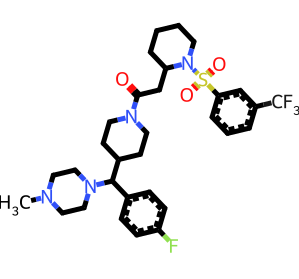 CN1CCN(C(c2ccc(F)cc2)C2CCN(C(=O)CC3CCCCN3S(=O)(=O)c3cccc(C(F)(F)F)c3)CC2)CC1